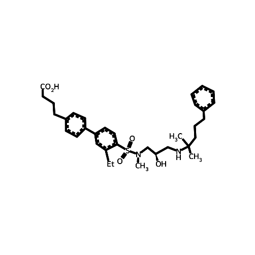 CCc1cc(-c2ccc(CCCC(=O)O)cc2)ccc1S(=O)(=O)N(C)C[C@H](O)CNC(C)(C)CCCc1ccccc1